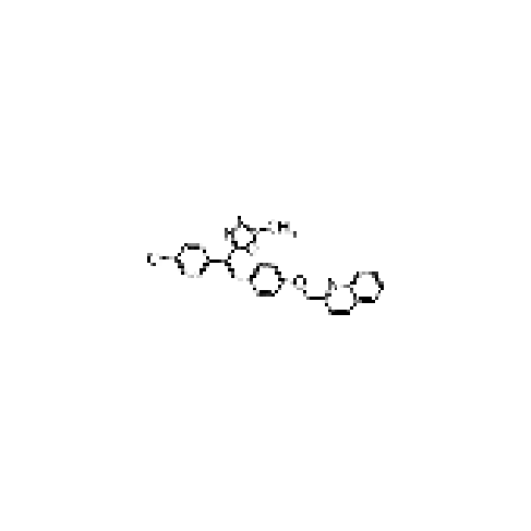 Cc1nnc(/C(=C\c2ccc(OCc3ccc4ccccc4n3)cc2)c2ccc(Cl)cc2)o1